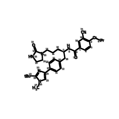 CC(C)Oc1ccc(C(=O)N[C@H](CCCN2CCNC2=O)Cc2ccc(-c3cn(C)c(C(C)(C)C)n3)cc2)cc1C#N